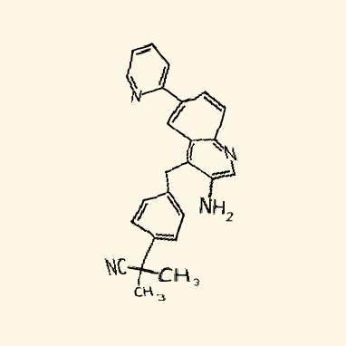 CC(C)(C#N)c1ccc(Cc2c(N)cnc3ccc(-c4ccccn4)cc23)cc1